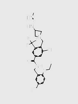 CCSc1ccc(Cl)cc1CNC(=O)c1cc(Cl)c(CN2CC(NSNC)C2)c(C(F)(F)F)c1